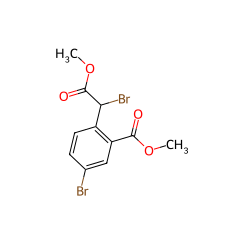 COC(=O)c1cc(Br)ccc1C(Br)C(=O)OC